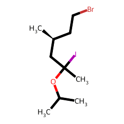 CC(C)OC(C)(I)C[C@@H](C)CCBr